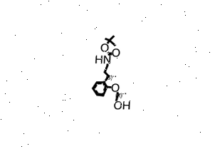 C[C@H](CO)Oc1ccccc1[C@@H](C)CCNC(=O)OC(C)(C)C